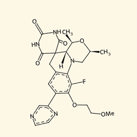 COCCOc1c(-c2cnccn2)cc2c(c1F)N1C[C@H](C)O[C@H](C)[C@H]1C1(C2)C(=O)NC(=O)NC1=O